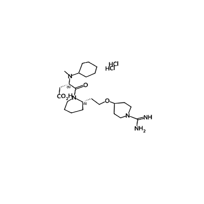 CN(C1CCCCC1)[C@@H](CC(=O)O)C(=O)N1CCCC[C@H]1CCOC1CCN(C(=N)N)CC1.Cl.Cl